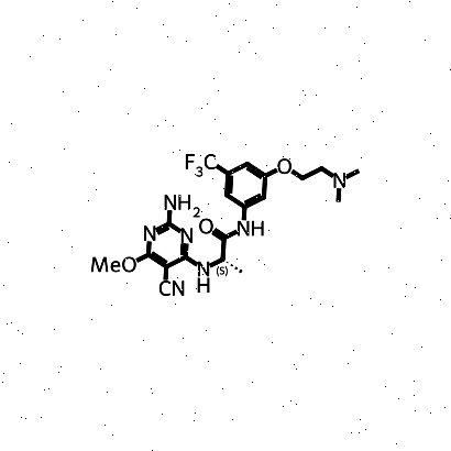 COc1nc(N)nc(N[C@@H](C)C(=O)Nc2cc(OCCN(C)C)cc(C(F)(F)F)c2)c1C#N